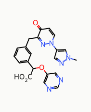 Cn1cc(-n2ccc(=O)c(Cc3cccc(C(Oc4cncnc4)C(=O)O)c3)n2)cn1